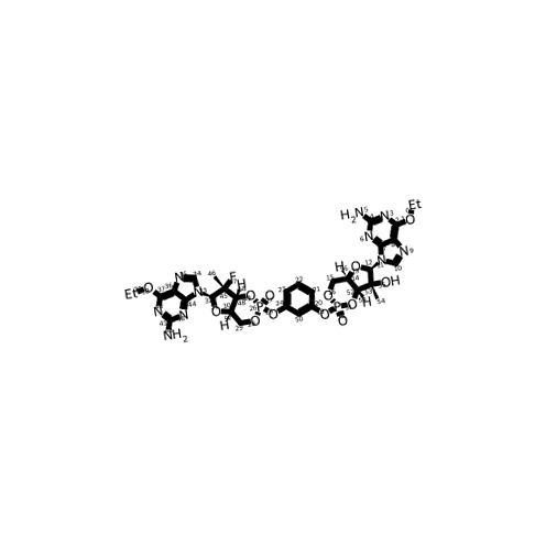 CCOc1nc(N)nc2c1ncn2[C@@H]1O[C@@H]2COP(=O)(Oc3cccc(OP4(=O)OC[C@H]5O[C@@H](n6cnc7c(OCC)nc(N)nc76)[C@](C)(F)[C@@H]5O4)c3)O[C@H]2[C@@]1(C)O